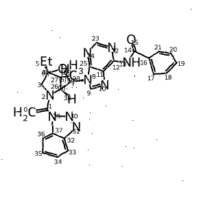 C=C(N1C[C@]2(CC)O[C@@H](n3cnc4c(NC(=O)c5ccccc5)ncnc43)[C@H]1[C@@H]2C)n1nnc2ccccc21